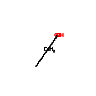 CCCCCCCCCCCCCCCCCCCCCCCCCCCCCCCCCCCC(=O)O.[CaH2]